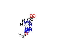 COc1ncnc(-n2cc(CN3C[C@@H](c4ccc5c(c4C)COC5=O)N[C@@H](C)C3)cn2)n1